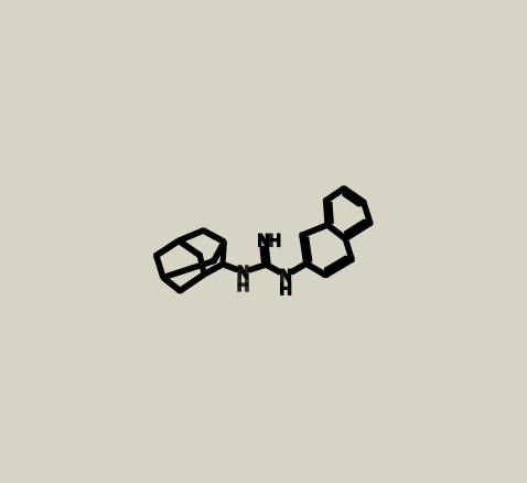 N=C(Nc1ccc2ccccc2c1)NC1C2CC3CC(C2)CC1C3